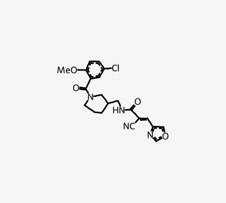 COc1ccc(Cl)cc1C(=O)N1CCCC(CNC(=O)/C(C#N)=C/c2cocn2)C1